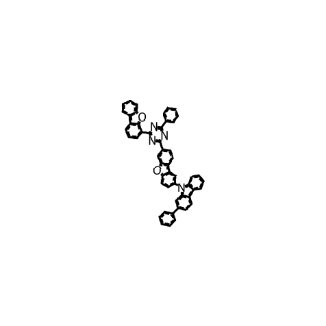 c1ccc(-c2ccc3c4ccccc4n(-c4ccc5oc6cc(-c7nc(-c8ccccc8)nc(-c8cccc9c8oc8ccccc89)n7)ccc6c5c4)c3c2)cc1